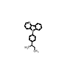 CCC(C)c1ccc(-n2c3ccccc3c3ncccc32)cc1